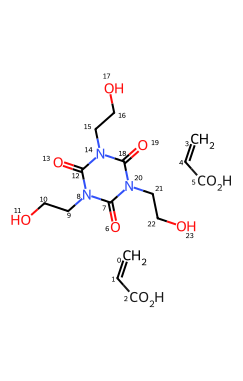 C=CC(=O)O.C=CC(=O)O.O=c1n(CCO)c(=O)n(CCO)c(=O)n1CCO